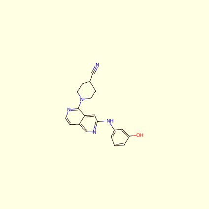 N#CC1CCN(c2nccc3cnc(Nc4cccc(O)c4)cc23)CC1